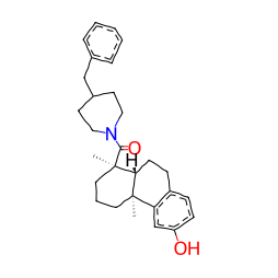 C[C@@]1(C(=O)N2CCC(Cc3ccccc3)CC2)CCC[C@]2(C)c3cc(O)ccc3CC[C@@H]12